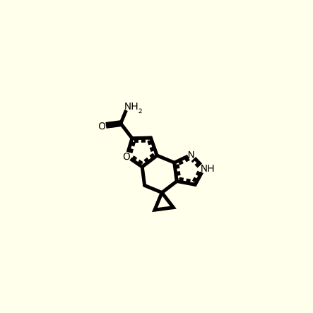 NC(=O)c1cc2c(o1)CC1(CC1)c1c[nH]nc1-2